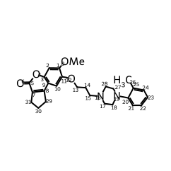 COc1cc2oc(=O)c3c(c2cc1OCCCN1CCN(c2ccccc2C)CC1)CCC3